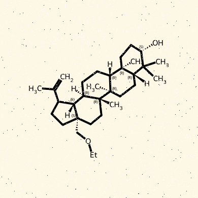 C=C(C)C1CC[C@]2(COCC)CC[C@]3(C)[C@H](CC[C@@H]4[C@@]5(C)CC[C@H](O)C(C)(C)[C@@H]5CC[C@]43C)[C@@H]12